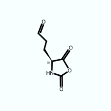 O=CCC[C@@H]1NC(=O)OC1=O